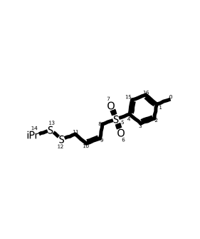 Cc1ccc(S(=O)(=O)C/C=C\CSSC(C)C)cc1